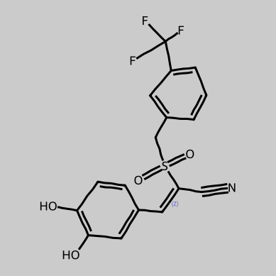 N#C/C(=C/c1ccc(O)c(O)c1)S(=O)(=O)Cc1cccc(C(F)(F)F)c1